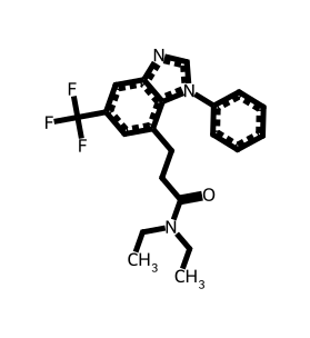 CCN(CC)C(=O)CCc1cc(C(F)(F)F)cc2ncn(-c3ccccc3)c12